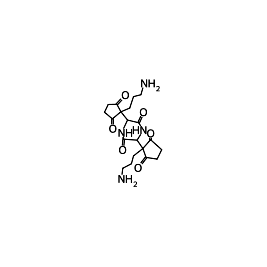 NCCCC1(C2NC(=O)C(C3(CCCN)C(=O)CCC3=O)NC2=O)C(=O)CCC1=O